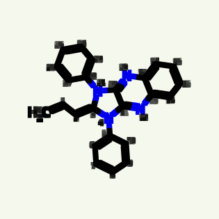 C=CC=C1N(c2ccccc2)c2nc3ccccc3nc2N1c1ccccc1